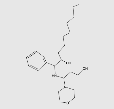 CCCCCCCCC(O)C(NC(CCO)N1CCOCC1)c1ccccc1